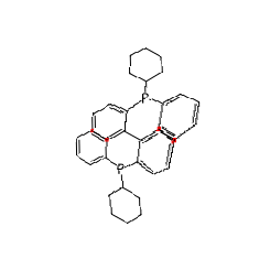 c1ccc(P(c2ccccc2-c2ccccc2P(c2ccccc2)C2CCCCC2)C2CCCCC2)cc1